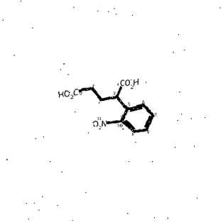 O=C(O)CCC(C(=O)O)c1ccccc1[N+](=O)[O-]